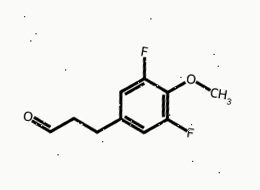 COc1c(F)cc(CCC=O)cc1F